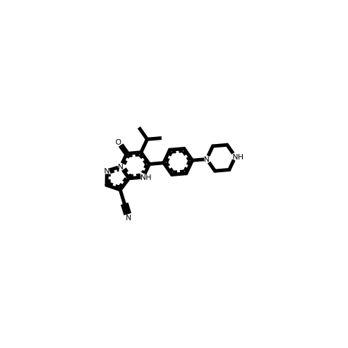 CC(C)c1c(-c2ccc(N3CCNCC3)cc2)[nH]c2c(C#N)cnn2c1=O